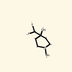 CCCN1CCC(O)(C(F)F)CC1